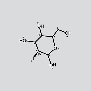 OCC1OC(O)[C@@H](I)C(O)C1O